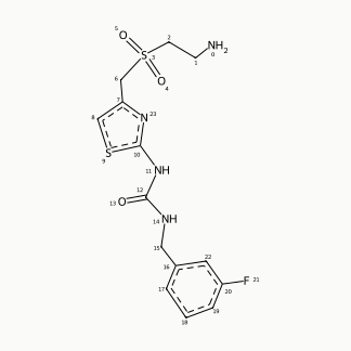 NCCS(=O)(=O)Cc1csc(NC(=O)NCc2cccc(F)c2)n1